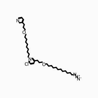 [Cl-].[N-]=[N+]=NCCCCCCCCCCCCOCCCc1ccc[n+](CCCCCCCCCCOCCCc2cccnc2)c1